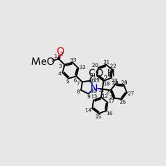 COC(=O)c1ccc(C2CCN(C(c3ccccc3)(c3ccccc3)c3ccccc3)[C@@H]2C(=O)O)cc1